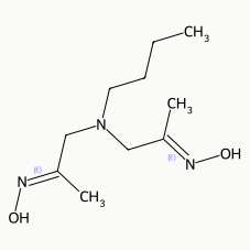 CCCCN(C/C(C)=N/O)C/C(C)=N/O